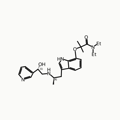 CCN(CC)C(=O)C(C)(C)Oc1cccc2c(C[C@@H](C)NC[C@@H](O)c3cccnc3)c[nH]c12